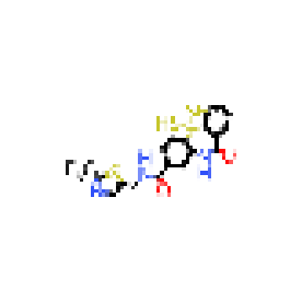 O=C(NCc1cnc(C(F)(F)F)s1)c1ccc2c(c1)NC(=O)c1ccccc1S2(S)S